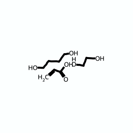 C=CC(=O)O.OCCCCO.OCCO